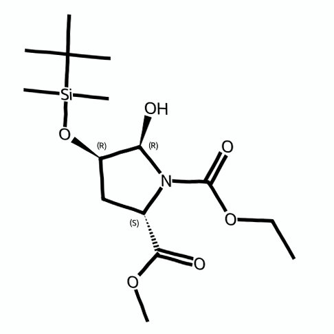 CCOC(=O)N1[C@H](O)[C@H](O[Si](C)(C)C(C)(C)C)C[C@H]1C(=O)OC